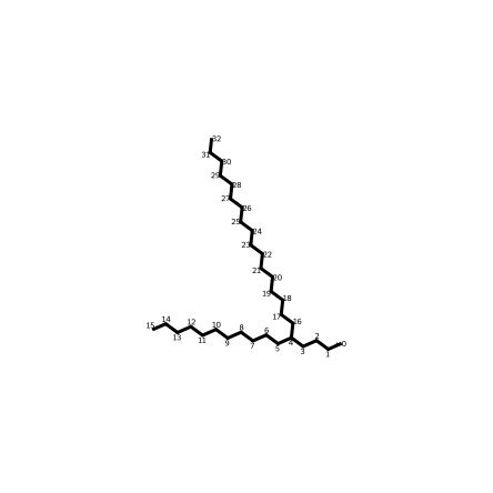 [CH2]CCCC(CCCCCCCCCCC)CCCCCCCCCCCCCCCCC